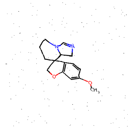 COc1ccc2c(c1)OCC21CCCN2C=NCC21